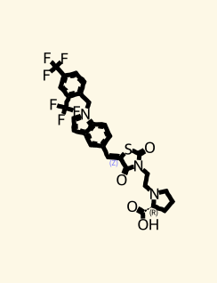 O=C(O)[C@H]1CCCN1CCN1C(=O)S/C(=C\c2ccc3c(ccn3Cc3ccc(C(F)(F)F)cc3C(F)(F)F)c2)C1=O